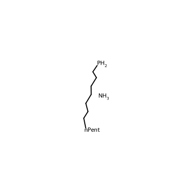 CCCCCCCCCCCCP.N